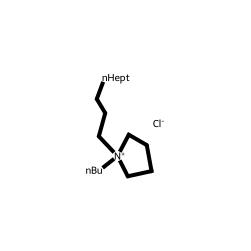 CCCCCCCCCC[N+]1(CCCC)CCCC1.[Cl-]